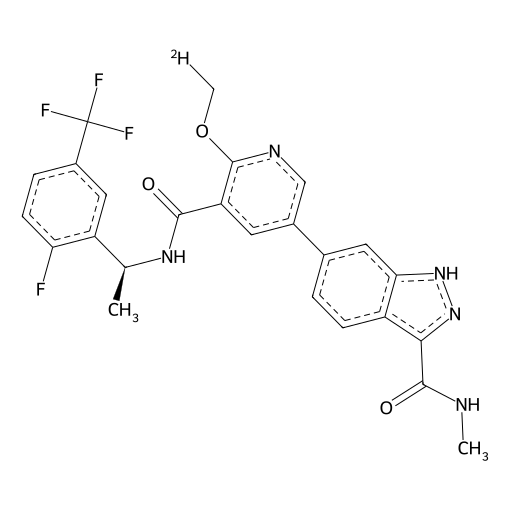 [2H]COc1ncc(-c2ccc3c(C(=O)NC)n[nH]c3c2)cc1C(=O)N[C@@H](C)c1cc(C(F)(F)F)ccc1F